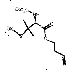 C=CCCOC(=O)[C@H](NC(=O)OCC)C(C)(C)SN=O